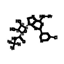 [2H]C([2H])([2H])NC(=O)[C@H]1O[C@@H](n2cnc3c(NC(C)C)nc(-c4cncc(Cl)c4)nc32)[C@H](O)[C@@H]1O